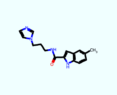 Cc1ccc2[nH]c(C(=O)NCCCn3ccnc3)cc2c1